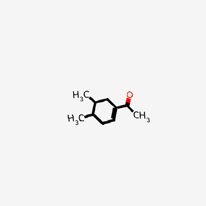 CC(=O)C1=CCC(C)C(C)C1